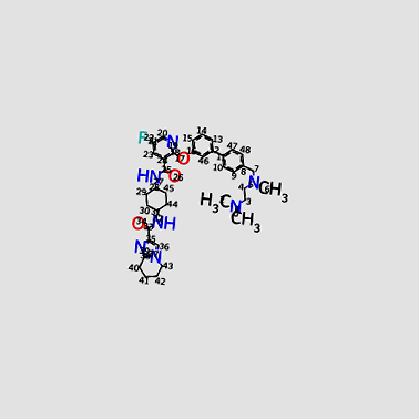 CN(C)CCN(C)Cc1ccc(-c2cccc(Oc3ncc(F)cc3C(=O)NC3CCC(NC(=O)c4cn5c(n4)CCCC5)CC3)c2)cc1